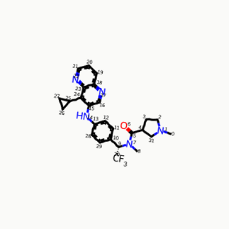 CN1CCC(C(=O)N(C)[C@@H](c2ccc(Nc3cnc4cccnc4c3C3CC3)cc2)C(F)(F)F)C1